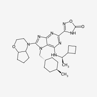 C[C@@H](Nc1nc(-c2noc(=O)[nH]2)nc2nc(N3CCOC4CCCC43)n(C[C@H]3CC[C@H](C)CC3)c12)C1CCC1